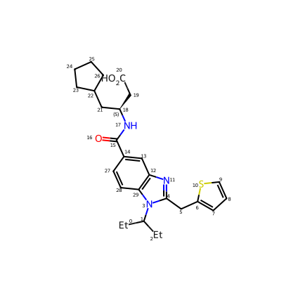 CCC(CC)n1c(Cc2cccs2)nc2cc(C(=O)N[C@H](CC(=O)O)CC3CCCC3)ccc21